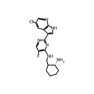 N[C@@H]1CCCCC1CNc1nc(-c2c[nH]c3ncc(Cl)cc23)ncc1F